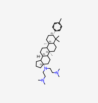 Cc1ccc([C@H]2CC[C@@]3(C)C(CC[C@@]4(C)C5CC[C@@]6(N(CCN(C)C)CCN(C)C)CCCC6[C@H]5CCC43)C2(C)C)cc1